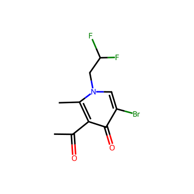 CC(=O)c1c(C)n(CC(F)F)cc(Br)c1=O